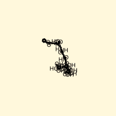 O=C(CCCCC(=O)NCCO[C@H]1O[C@H](CO[C@H]2O[C@H](CO)[C@@H](O)[C@H](O)[C@@H]2O)[C@@H](O)[C@H](O[C@@H]2O[C@H](CO)[C@@H](O)[C@H](O)[C@@H]2O)[C@@H]1O)NCCCC[C@H](NC(=O)CCCCC(=O)OCc1ccccc1)C(=O)O